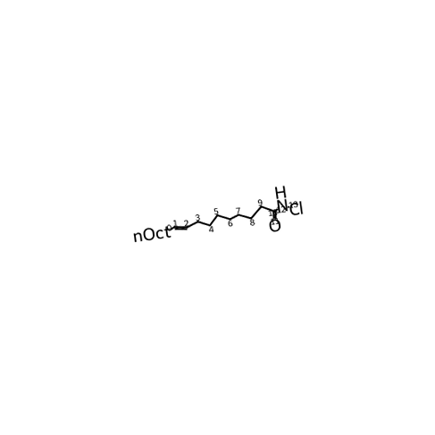 CCCCCCCCC=CCCCCCCCC(=O)NCl